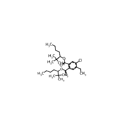 CCCCC(OC(=O)c1cc(Cl)c(CC)cc1C(=O)OC(CCCC)C(C)(C)C)C(C)(C)C